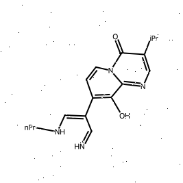 CCCN/C=C(\C=N)c1ccn2c(=O)c(C(C)C)cnc2c1O